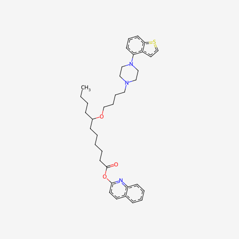 CCCCC(CCCCCC(=O)Oc1ccc2ccccc2n1)OCCCCN1CCN(c2cccc3sccc23)CC1